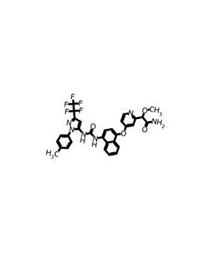 COC(C(N)=O)c1cc(Oc2ccc(NC(=O)Nc3cc(C(F)(F)C(F)(F)F)nn3-c3ccc(C)cc3)c3ccccc23)ccn1